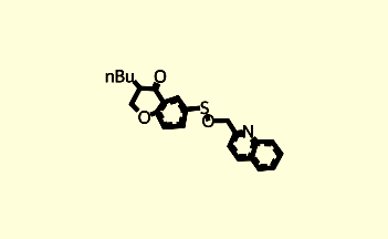 CCCCC1COc2ccc(SOCc3ccc4ccccc4n3)cc2C1=O